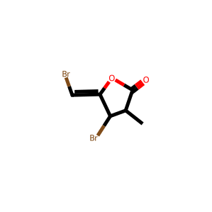 CC1C(=O)O/C(=C\Br)C1Br